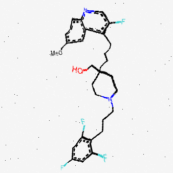 COc1ccc2ncc(F)c(CCCC3(CO)CCN(CCCc4c(F)cc(F)cc4F)CC3)c2c1